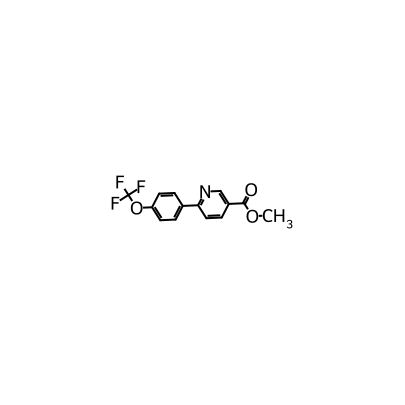 COC(=O)c1ccc(-c2ccc(OC(F)(F)F)cc2)nc1